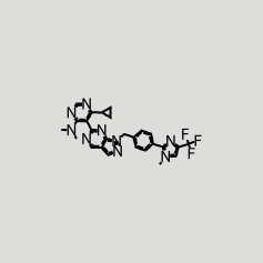 CN(C)c1ncnc(C2CC2)c1-c1ncc2cnn(Cc3ccc(-c4nc(C(F)(F)F)cn4C)cc3)c2n1